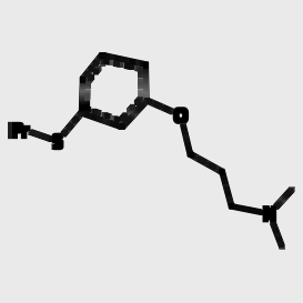 CC(C)Sc1cccc(OCCCN(C)C)c1